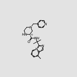 Cc1cccn2c(C(C)(C)NC(=O)[C@@H]3CN(Cc4ccncc4)CCN3)ncc12